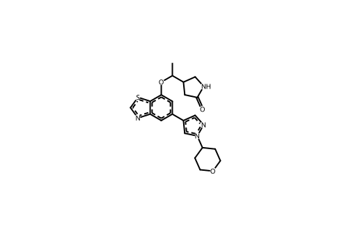 CC(Oc1cc(-c2cnn(C3CCOCC3)c2)cc2ncsc12)C1CNC(=O)C1